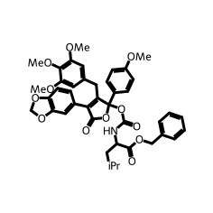 COc1ccc(C2(OC(=O)NC(CC(C)C)C(=O)OCc3ccccc3)OC(=O)C(c3ccc4c(c3)OCO4)=C2Cc2cc(OC)c(OC)c(OC)c2)cc1